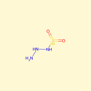 NNN[SH](=O)=O